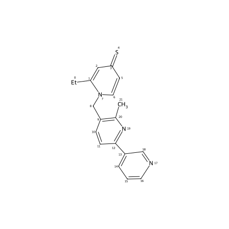 CCc1cc(=S)ccn1Cc1ccc(-c2cccnc2)nc1C